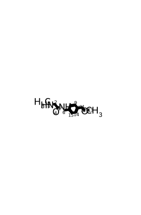 CNCC(=O)NCc1ccc(COC)cc1